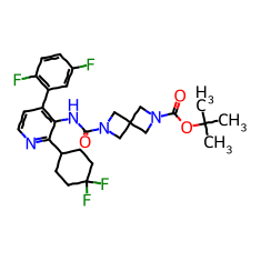 CC(C)(C)OC(=O)N1CC2(CN(C(=O)Nc3c(-c4cc(F)ccc4F)ccnc3C3CCC(F)(F)CC3)C2)C1